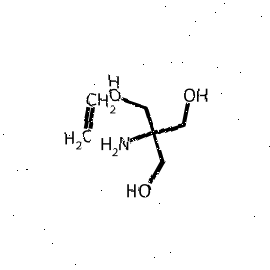 C=C.NC(CO)(CO)CO